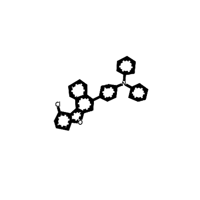 Clc1cccc2oc3cc(-c4ccc(N(c5ccccc5)c5ccccc5)cc4)c4ccccc4c3c12